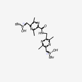 Cc1nc(CNC(=O)c2nc(C)c(/C=[N+](\O)C(C)(C)C)nc2C)c(C)nc1/C=[N+](\O)C(C)(C)C